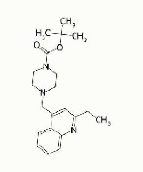 CCc1cc(CN2CCN(C(=O)OC(C)(C)C)CC2)c2ccccc2n1